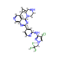 FC(F)(F)Cn1cc(Cl)c(Nc2cc(-c3nc(N4CCNCC4)c4c(C5CC5)cncc4n3)ccn2)n1